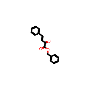 O=C(/C=C/c1ccccc1)C(=O)OCc1ccccc1